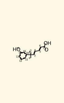 CC(C)(C=CC=CC(=O)O)c1cccc(O)c1